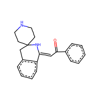 O=C(C=C1NC2(CCNCC2)Cc2ccccc21)c1ccccc1